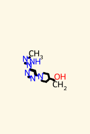 C=C(O)C1CCN(c2cc(N3C=NC(C)N3)ncn2)CC1